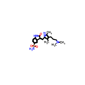 Cc1[nH]c(C=C2C(=O)Nc3ccc(S(N)(=O)=O)cc32)c(C)c1CCCN(C)C